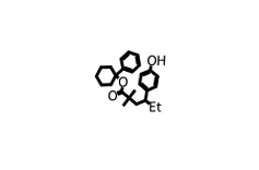 CCC(CC(C)(C)C(=O)OC1(c2ccccc2)CCCCC1)c1ccc(O)cc1